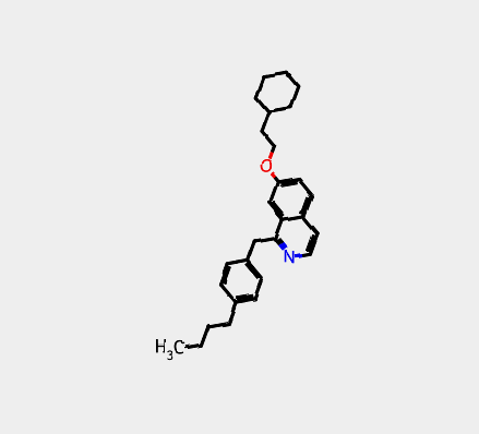 CCCCc1ccc(Cc2nccc3ccc(OCCC4CCCCC4)cc23)cc1